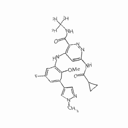 [2H]C([2H])([2H])NC(=O)c1nnc(NC(=O)C2CC2)cc1Nc1cc(F)cc(-c2cnn(C)c2)c1OC